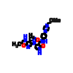 COCCN1CCN(c2ccc(NC(=O)c3c(Nc4cnc5c(c4C)NCC(C)O5)cc[nH]c3=O)cc2)CC1